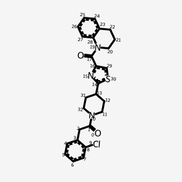 O=C(Cc1ccccc1Cl)N1CCC(c2nc(C(=O)N3CCCc4ccccc43)cs2)CC1